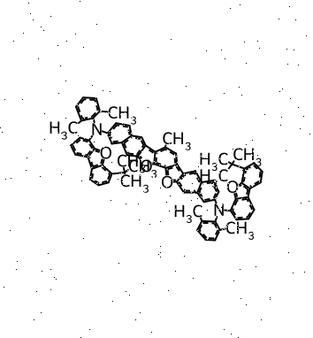 Cc1cccc(C)c1N(c1ccc2cc3c(cc2c1)oc1c3cc(C)c2c3cc4ccc(N(c5c(C)cccc5C)c5cccc6c5oc5c(C(C)(C)C)cccc56)cc4cc3oc12)c1cccc2c1oc1c(C(C)(C)C)cccc12